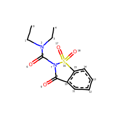 CCN(CC)C(=O)N1C(=O)c2ccccc2S1(=O)=O